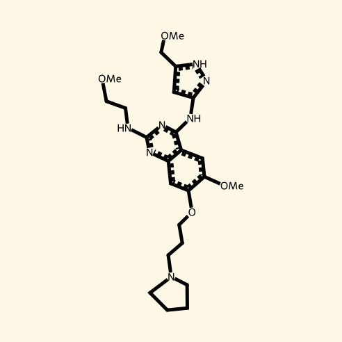 COCCNc1nc(Nc2cc(COC)[nH]n2)c2cc(OC)c(OCCCN3CCCC3)cc2n1